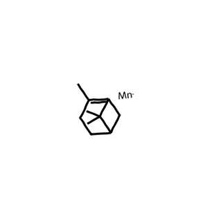 CC1=C2CC(CC1)C2(C)C.[Mn]